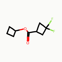 O=C(OC1CCC1)C1CC(F)(F)C1